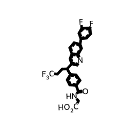 O=C(O)CNC(=O)c1ccc(C(CCC(F)(F)F)c2cnc3cc(-c4ccc(F)c(F)c4)ccc3c2)cc1